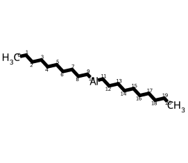 CCCCCCCCC[CH2][Al][CH2]CCCCCCCCC